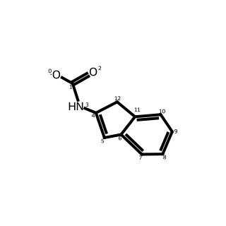 [O]C(=O)NC1=Cc2ccccc2C1